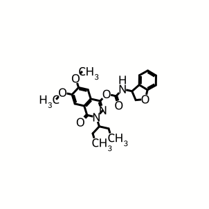 CCC(CC)n1nc(OC(=O)NC2COc3ccccc32)c2cc(OC)c(OC)cc2c1=O